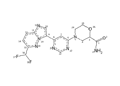 NC(=O)C1CN(c2cc(-c3cnc4ccc(C(F)F)nn34)ncn2)CCO1